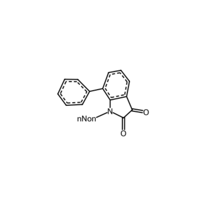 CCCCCCCCCN1C(=O)C(=O)c2cccc(-c3ccccc3)c21